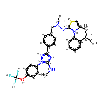 CNc1nc(-c2ccc(CN(C)NC3SC=C(C)N3c3ccccc3C(C)C)cc2)nn1-c1ccc(OC(F)(F)F)cc1